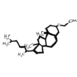 CC(C)CCCC(C)C1CCC2C3CC=C4CC(OCO)CCC4(C)C3CCC12C